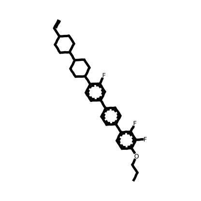 C=CC1CCC(C2CCC(c3ccc(-c4ccc(-c5ccc(OCCC)c(F)c5F)cc4)cc3F)CC2)CC1